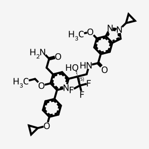 CCOc1c(CC(N)=O)cc([C@@](O)(CNC(=O)c2cc(OC)c3nn(C4CC4)cc3c2)C(F)(F)F)nc1-c1ccc(OC2CC2)cc1